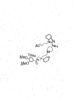 COc1cc(C(=O)N2CCC(CCN3CCC(Nc4nc5ccccc5n4CCCC(C)=O)CC3)(c3ccccc3)C2)cc(OC)c1OC